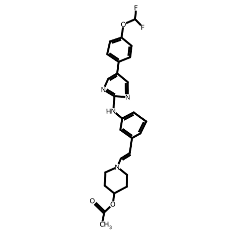 CC(=O)OC1CCN(C=Cc2cccc(Nc3ncc(-c4ccc(OC(F)F)cc4)cn3)c2)CC1